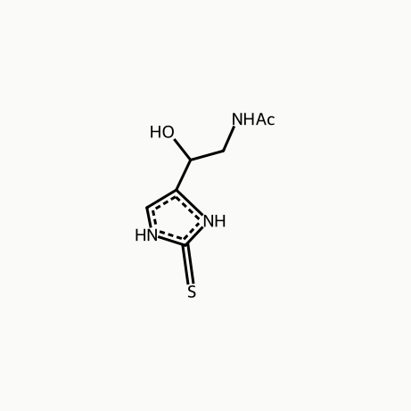 CC(=O)NCC(O)c1c[nH]c(=S)[nH]1